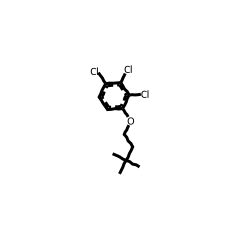 CC(C)(C)CCOc1ccc(Cl)c(Cl)c1Cl